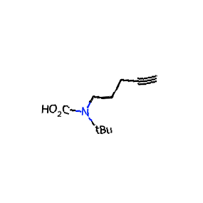 C#CCCCN(C(=O)O)C(C)(C)C